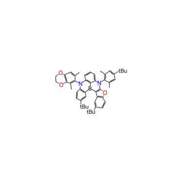 Cc1cc(C(C)(C)C)cc(C)c1N1c2cccc3c2B(c2cc(C(C)(C)C)ccc2N3c2c(C)cc3c(c2C)OCCO3)c2c1oc1ccc(C(C)(C)C)cc21